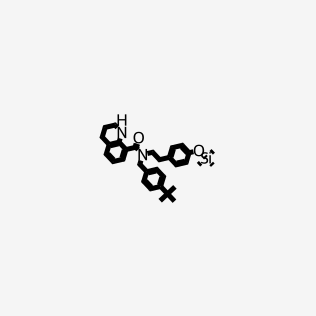 CC(C)(C)c1ccc(CN(CCc2ccc(O[Si](C)(C)C)cc2)C(=O)c2cccc3c2NCCC3)cc1